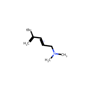 C=C(/C=C/CN(C)C)C(C)(C)C